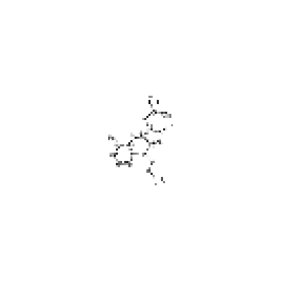 CCCCc1nc(Cl)c(CC(=O)O)n1Cc1ccccc1Br